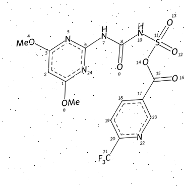 COc1cc(OC)nc(NC(=O)NS(=O)(=O)OC(=O)c2ccc(C(F)(F)F)nc2)n1